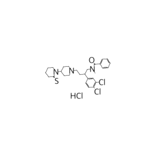 CN(CC(CCN1CCC(N2CCCCC2=S)CC1)c1ccc(Cl)c(Cl)c1)C(=O)c1ccccc1.Cl